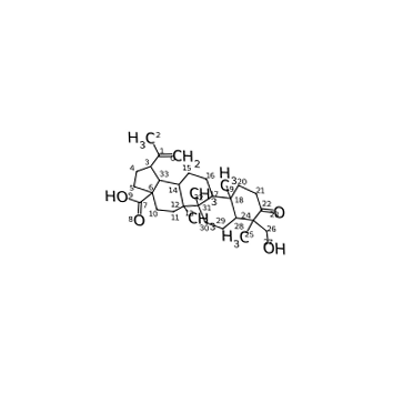 C=C(C)C1CCC2(C(=O)O)CCC3(C)C(CCC4C5(C)CCC(=O)C(C)(CO)C5CCC43C)C12